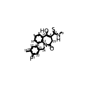 CNC(=S)C1=C(O)c2ccccc2N(Cc2ccc(C)c(F)c2)C(=O)C1